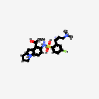 CCN(CC)C/C=C\c1cc(F)ccc1S(=O)(=O)Nc1ccc2c(cc3n2CCC3)c1C(=O)OC